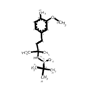 COc1cc(CCC(C)(C)N[S+]([O-])C(C)(C)C)ccc1C